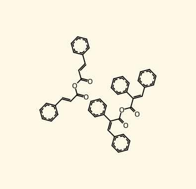 O=C(C=Cc1ccccc1)OC(=O)C=Cc1ccccc1.O=C(OC(=O)C(=Cc1ccccc1)c1ccccc1)C(=Cc1ccccc1)c1ccccc1